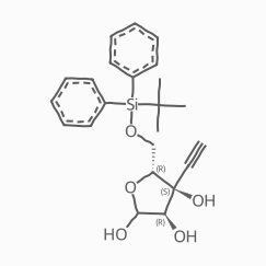 C#C[C@@]1(O)[C@@H](CO[Si](c2ccccc2)(c2ccccc2)C(C)(C)C)OC(O)[C@@H]1O